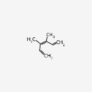 C=CC(C)=C(C)C=C